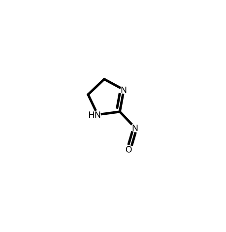 O=NC1=NCCN1